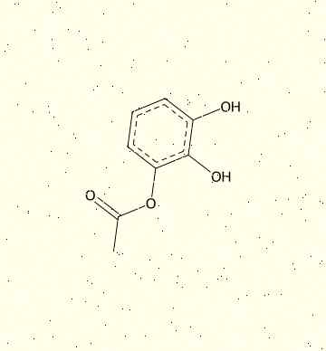 CC(=O)Oc1cccc(O)c1O